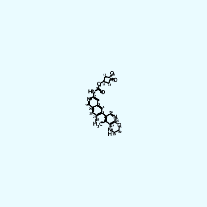 Cc1c(-c2cc3cc(NC(=O)OC4CS(=O)(=O)C4)ncc3cc2F)cnc2c1NCCO2